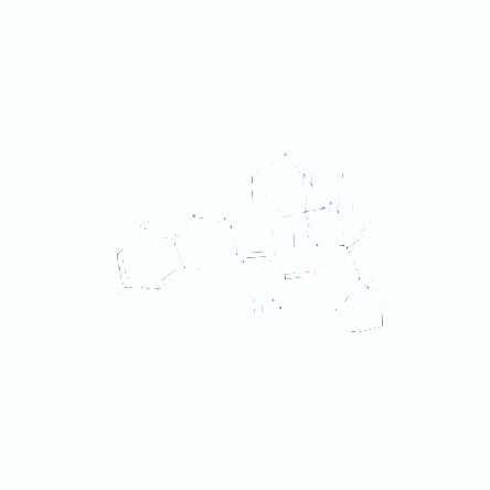 CNC1(NC(=O)N2CCCC2)NCCc2c1c(C(N)=O)nn2Cc1ccccc1